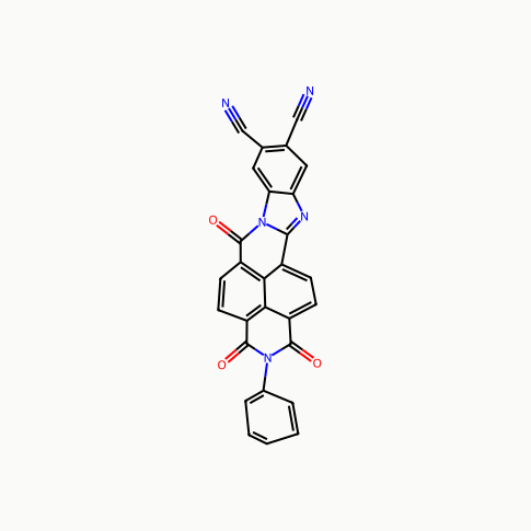 N#Cc1cc2nc3c4ccc5c6c(ccc(c(=O)n3c2cc1C#N)c64)C(=O)N(c1ccccc1)C5=O